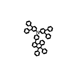 c1ccc(-c2ccc(N(c3ccc(-c4cccc5c(-c6ccccc6)c(-c6ccccc6)c6ccccc6c45)cc3)c3ccc(-c4ccccc4)c(-c4ccccc4)c3)cc2-c2ccccc2)cc1